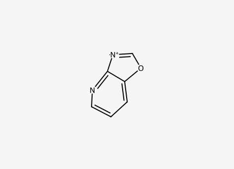 C1=[N+]c2ncccc2O1